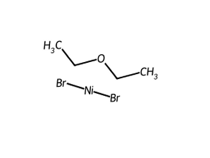 CCOCC.[Br][Ni][Br]